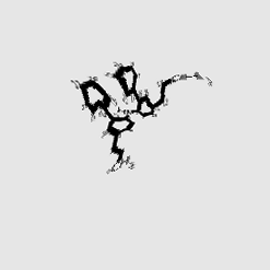 CCCc1ccc(Nc2ccc(CCC)cc2-c2ccccc2)c(-c2ccccc2)c1